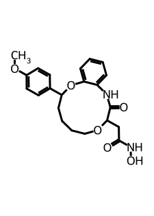 COc1ccc(C2CCCCOC(CC(=O)NO)C(=O)Nc3ccccc3O2)cc1